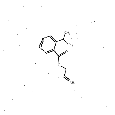 C=CCOC(=O)c1ccccc1C(C)C